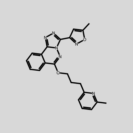 Cc1cccc(CCCOc2nn3c(-c4cc(C)on4)nnc3c3ccccc23)n1